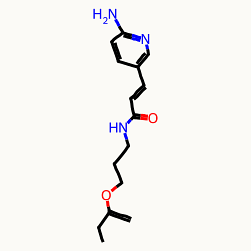 C=C(CC)OCCCNC(=O)/C=C/c1ccc(N)nc1